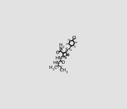 CCC(C)NC(=O)Nc1snc(SCc2ccc(Cl)cc2)c1C(N)=O